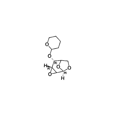 C1CCC(O[C@@H]2C3CO[C@H](O3)C3O[C@@H]32)OC1